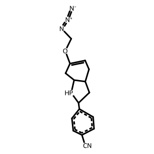 N#Cc1ccc(C2CC3CC=C(OCN=[N+]=[N-])CC3P2)cc1